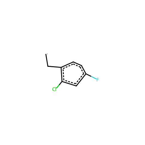 [CH2]Cc1ccc(F)cc1Cl